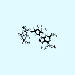 CN(C)c1nc(N)nc2c1ncn2[C@@H]1O[C@](F)(COP(=O)(O)OP(=O)(O)OP(=O)(O)O)[C@@H](O)[C@@]1(C)F